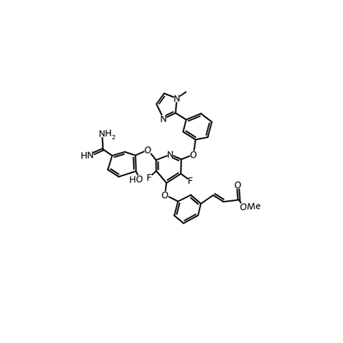 COC(=O)/C=C/c1cccc(Oc2c(F)c(Oc3cccc(-c4nccn4C)c3)nc(Oc3cc(C(=N)N)ccc3O)c2F)c1